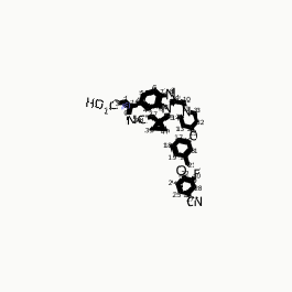 C/C(=C\C(=O)O)c1ccc2nc(CN3CCC(Oc4cccc(COc5ccc(C#N)cc5F)c4)CC3)n(CC3(CC#N)CC3)c2c1